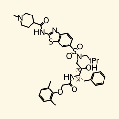 Cc1cccc(C)c1OCC(=O)N[C@@H](Cc1ccccc1)[C@H](O)CN(CC(C)C)S(=O)(=O)c1ccc2nc(NC(=O)C3CCN(C)CC3)sc2c1